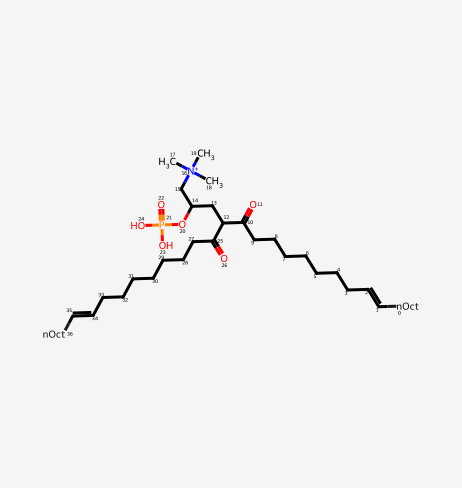 CCCCCCCCC=CCCCCCCCC(=O)C(CC(C[N+](C)(C)C)OP(=O)(O)O)C(=O)CCCCCCCC=CCCCCCCCC